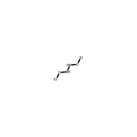 CCOBBOCC